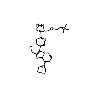 C[Si](C)(C)CCOCn1nnnc1-c1ccc(-c2c(CO)nc3c(N4CCOCC4)ccnn23)cn1